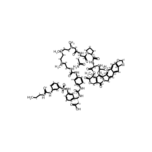 CCCNC(=O)Nc1cccc(S(=O)(=O)Nc2cccc([C@@H](CC(=O)O)NC(=O)Nc3ccc(NC(=O)NCCN(C)CCN(C)CCN(C)CC(=O)N[C@@H](CC(N)=O)C(=O)N4CCC[C@H]4C(=O)N[C@@H]([SiH2]C(C)C)C(=O)O[C@]4(C)C(=O)OCc5c4cc4n(c5=O)Cc5cc6cc7c(cc6nc5-4)OCO7)cc3)c2)c1